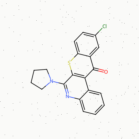 O=c1c2cc(Cl)ccc2sc2c(N3CCCC3)nc3ccccc3c12